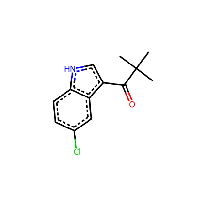 CC(C)(C)C(=O)c1c[nH]c2ccc(Cl)cc12